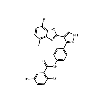 Cc1ccc(C(C)C)c2oc(-c3c[nH]nc3-c3ccc(NC(=O)c4cc(Br)ccc4Br)cc3)nc12